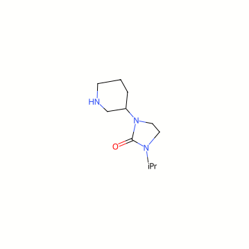 CC(C)N1CCN(C2CCCNC2)C1=O